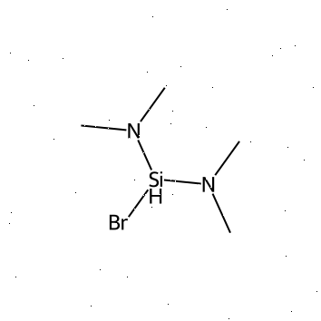 CN(C)[SiH](Br)N(C)C